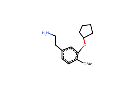 COc1ccc(CCN)cc1OC1CCCC1